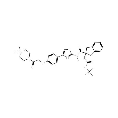 CN(C(=O)C1(CC(=O)OC(C)(C)C)Cc2ccccc2C1)c1nc(-c2ccc(OCC(=O)N3CC[N+](C)(C)CC3)cc2)cs1